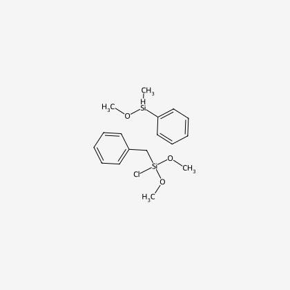 CO[SiH](C)c1ccccc1.CO[Si](Cl)(Cc1ccccc1)OC